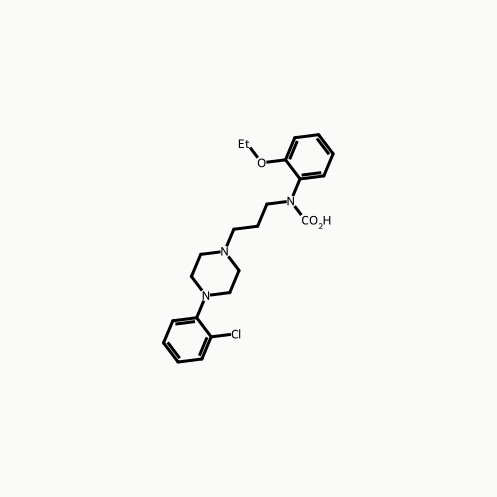 CCOc1ccccc1N(CCCN1CCN(c2ccccc2Cl)CC1)C(=O)O